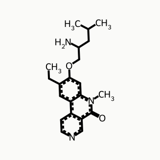 CCc1cc2c3ccncc3c(=O)n(C)c2cc1OCC(N)CC(C)C